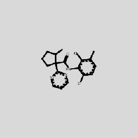 Cc1ccc(Cl)c(NC(=O)C2(c3ncccn3)CCCC2C)c1Cl